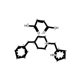 O=C(O)/C=C\C(=O)O.c1ccc(CC2CCN(Cc3ccc[nH]3)CC2)cc1